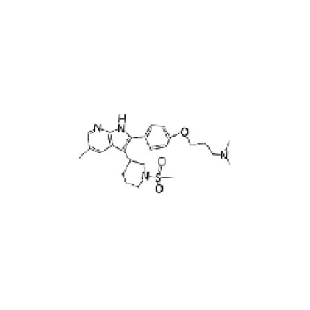 Cc1cnc2[nH]c(-c3ccc(OCCCN(C)C)cc3)c(C3CCCN(S(C)(=O)=O)C3)c2c1